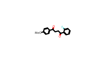 COc1ccc(C(=O)CCC(=O)c2ccccc2F)cc1